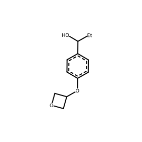 CCC(O)c1ccc(OC2COC2)cc1